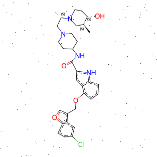 C[C@H]1CN([C@@H](C)CN2CCC(NC(=O)c3cc4c(OCc5coc6ccc(Cl)cc56)cccc4[nH]3)CC2)CC[C@@H]1O